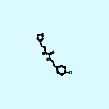 S=C(NCCc1ccc(Cl)cc1)NCCc1cccs1